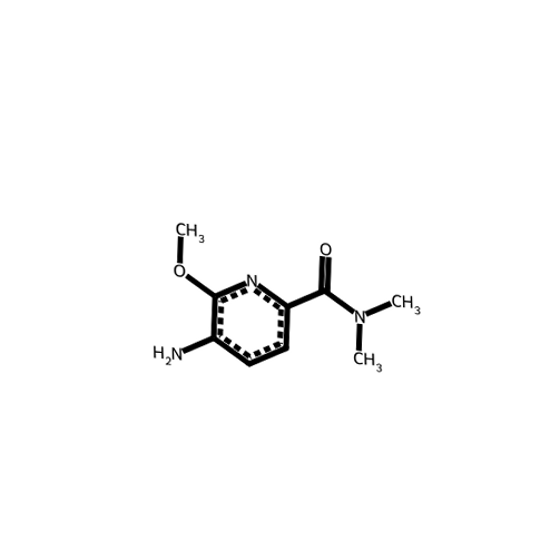 COc1nc(C(=O)N(C)C)ccc1N